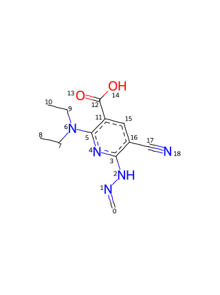 C=NNc1nc(N(CC)CC)c(C(=O)O)cc1C#N